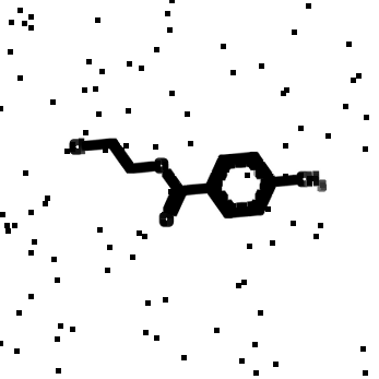 Cc1ccc(C(=O)OCCCl)cc1